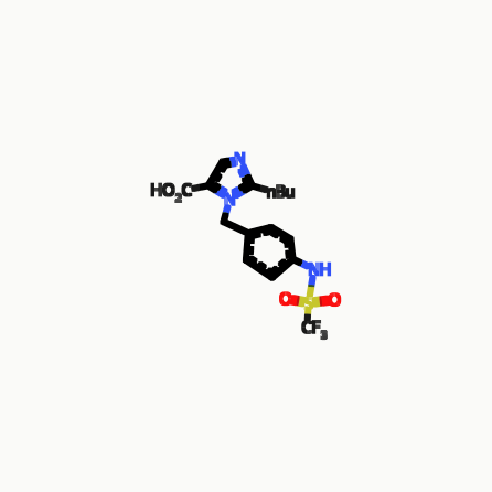 CCCCc1ncc(C(=O)O)n1Cc1ccc(NS(=O)(=O)C(F)(F)F)cc1